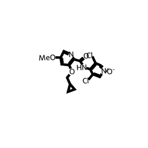 COc1cnc(C(=O)Nc2c(Cl)c[n+]([O-])cc2Cl)c(OCC2CC2)c1